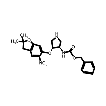 CC1(C)Cc2cc([N+](=O)[O-])c(O[C@@H]3CNC[C@H]3NC(=O)OCc3ccccc3)cc2O1